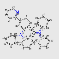 c1ccc(-c2cccc(-n3c4ccccc4c4ccc5c6ccccc6n6c7ccccc7cc6c5c43)c2)nc1